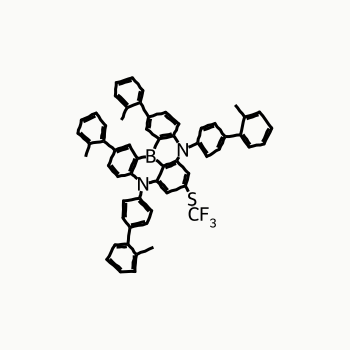 Cc1ccccc1-c1ccc(N2c3ccc(-c4ccccc4C)cc3B3c4cc(-c5ccccc5C)ccc4N(c4ccc(-c5ccccc5C)cc4)c4cc(SC(F)(F)F)cc2c43)cc1